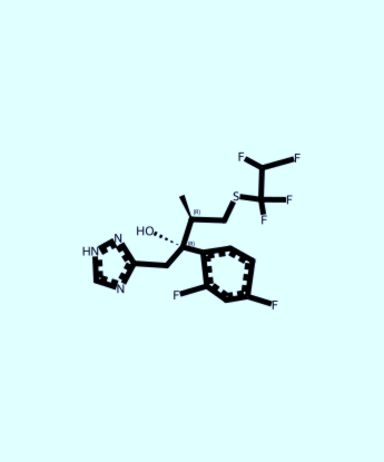 C[C@@H](CSC(F)(F)C(F)F)[C@](O)(Cc1nc[nH]n1)c1ccc(F)cc1F